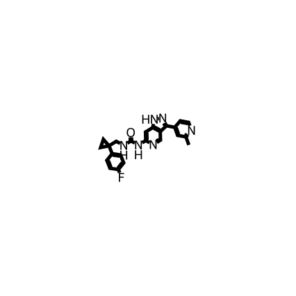 Cc1cc(-c2n[nH]c3cc(NC(=O)NCC4(c5ccc(F)cc5)CC4)ncc23)ccn1